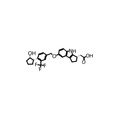 O=C(O)C[C@@H]1CCc2c1[nH]c1ccc(OCc3ccc([C@@H]4CCC[C@@H]4O)c(C(F)(F)F)c3)cc21